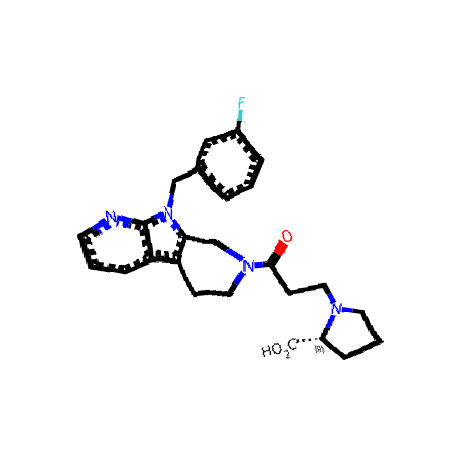 O=C(O)[C@H]1CCCN1CCC(=O)N1CCc2c(n(Cc3cccc(F)c3)c3ncccc23)C1